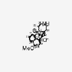 COc1ncc(C2CC2)c2c(S(=O)(=O)N3CCCNC[C@H]3C)cccc12.Cl